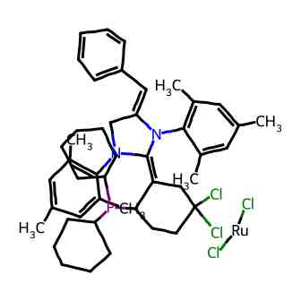 Cc1cc(C)c(N2CC(=Cc3ccccc3)N(c3c(C)cc(C)cc3C)C2=C2CC(Cl)(Cl)CCC2P(C2CCCCC2)C2CCCCC2)c(C)c1.[Cl][Ru][Cl]